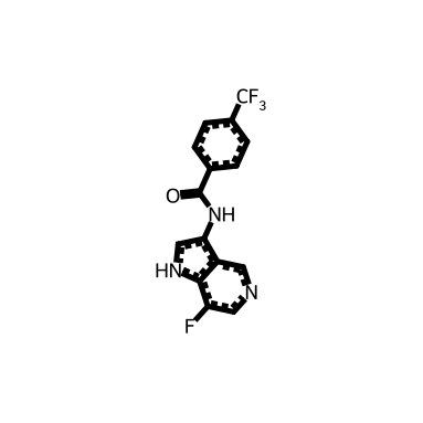 O=C(Nc1c[nH]c2c(F)cncc12)c1ccc(C(F)(F)F)cc1